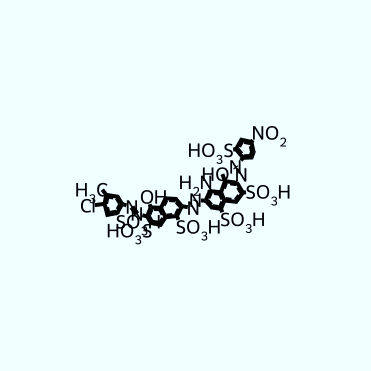 Cc1cc(N=Nc2c(S(=O)(=O)O)cc3c(S(=O)(=O)O)c(N=Nc4cc(S(=O)(=O)O)c5cc(S(=O)(=O)O)c(N=Nc6ccc([N+](=O)[O-])cc6S(=O)(=O)O)c(O)c5c4N)ccc3c2O)c(S(=O)(=O)O)cc1Cl